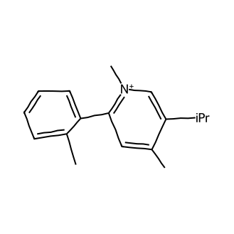 Cc1ccccc1-c1cc(C)c(C(C)C)c[n+]1C